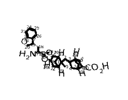 CC1(CC2C[C@@H]3C[C@H]2C[C@H]3C(=O)O)[C@@H]2C[C@H]3OB([C@@H](N)C[C@@H]4COc5ccccc54)O[C@@]3(C)[C@H]1C2